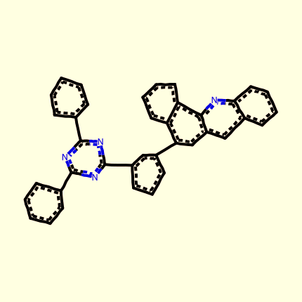 c1ccc(-c2nc(-c3ccccc3)nc(-c3cccc(-c4cc5cc6ccccc6nc5c5ccccc45)c3)n2)cc1